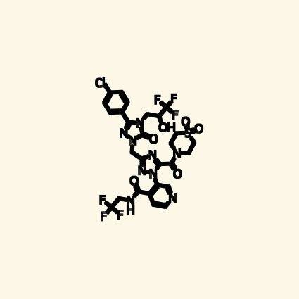 O=C(NCC(F)(F)F)c1ccncc1-n1nc(Cn2nc(-c3ccc(Cl)cc3)n(CC(O)C(F)(F)F)c2=O)nc1C(=O)N1CCS(=O)(=O)CC1